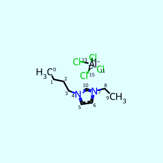 CCCC[n+]1ccn(CC)c1.[Cl][Al-]([Cl])([Cl])[Cl]